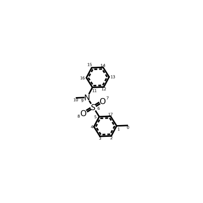 Cc1cccc(S(=O)(=O)N(C)c2ccccc2)c1